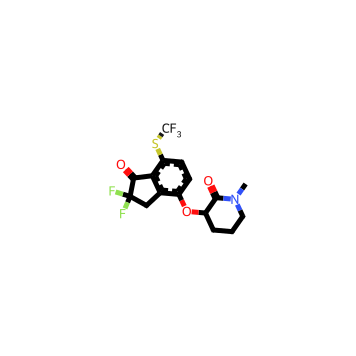 CN1CCCC(Oc2ccc(SC(F)(F)F)c3c2CC(F)(F)C3=O)C1=O